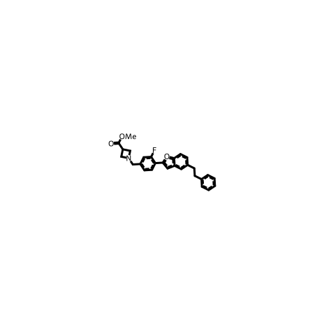 COC(=O)C1CN(Cc2ccc(-c3cc4cc(CCc5ccccc5)ccc4o3)c(F)c2)C1